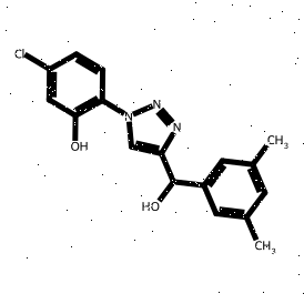 Cc1cc(C)cc(C(O)c2cn(-c3ccc(Cl)cc3O)nn2)c1